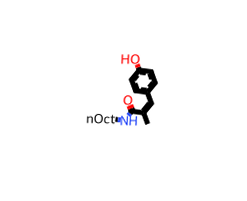 CCCCCCCCNC(=O)C(C)=Cc1ccc(O)cc1